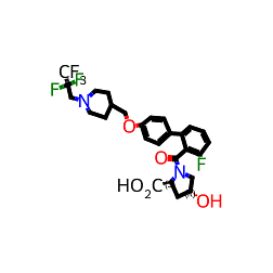 O=C(O)[C@@H]1C[C@@H](O)CN1C(=O)c1c(F)cccc1-c1ccc(OCC2CCN(CC(F)(F)C(F)(F)F)CC2)cc1